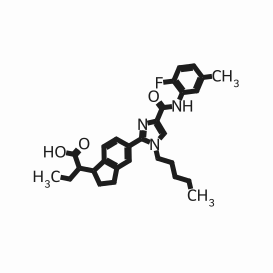 CCCCCn1cc(C(=O)Nc2cc(C)ccc2F)nc1-c1ccc2c(c1)CCC2C(CC)C(=O)O